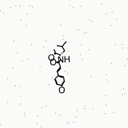 COc1ccc(/C=C/C(=O)N[C@H](CC(C)C)C(C)=O)cc1